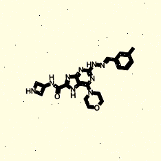 Cc1cccc(/C=N/Nc2nc(N3CCOCC3)c3[nH]c(C(=O)NC4CNC4)nc3n2)c1